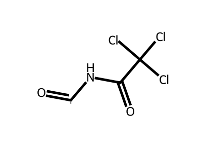 O=[C]NC(=O)C(Cl)(Cl)Cl